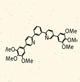 COc1cc(-c2ccc(-c3cccc(-c4ccc(-c5cc(OC)c(OC)c(OC)c5)cn4)c3)nc2)cc(OC)c1OC